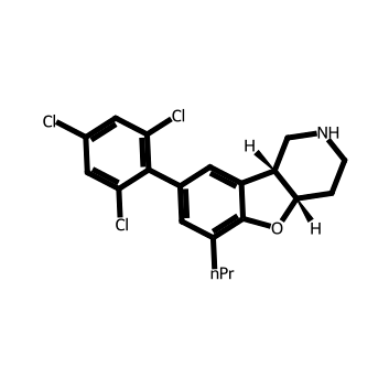 CCCc1cc(-c2c(Cl)cc(Cl)cc2Cl)cc2c1O[C@H]1CCNC[C@@H]21